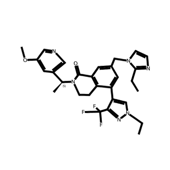 CCc1nccn1Cc1cc2c(c(-c3cn(CC)nc3C(F)(F)F)c1)CCN([C@@H](C)c1cncc(OC)c1)C2=O